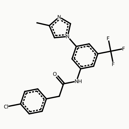 Cc1cn(-c2cc(NC(=O)Cc3ccc(Cl)cc3)cc(C(F)(F)F)c2)cn1